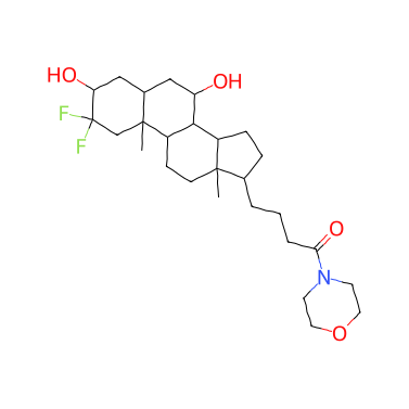 CC12CCC3C(C(O)CC4CC(O)C(F)(F)CC43C)C1CCC2CCCC(=O)N1CCOCC1